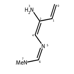 C=C/C(N)=C\N=C/NC